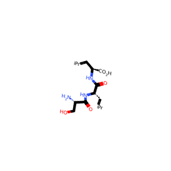 CC(C)C[C@H](NC(=O)[C@H](CC(C)C)NC(=O)[C@@H](N)CO)C(=O)O